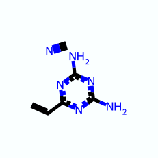 C#N.C=Cc1nc(N)nc(N)n1